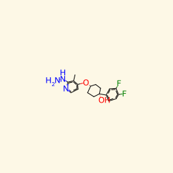 Cc1c(O[C@H]2CC[C@](O)(c3ccc(F)c(F)c3)CC2)ccnc1NN